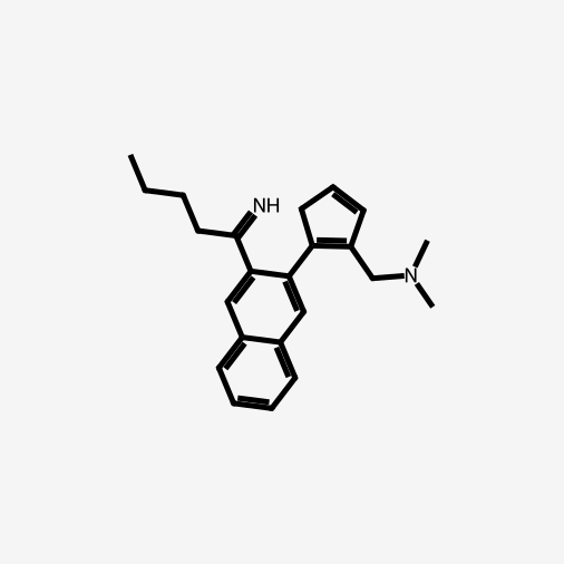 CCCCC(=N)c1cc2ccccc2cc1C1=C(CN(C)C)C=CC1